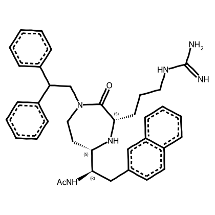 CC(=O)N[C@H](Cc1ccc2ccccc2c1)[C@@H]1CCN(CC(c2ccccc2)c2ccccc2)C(=O)[C@H](CCCNC(=N)N)N1